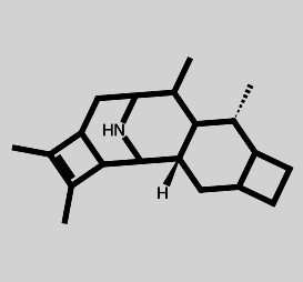 CC1=C(C)C2C1CC1NC2[C@H]2CC3CCC3[C@@H](C)C2C1C